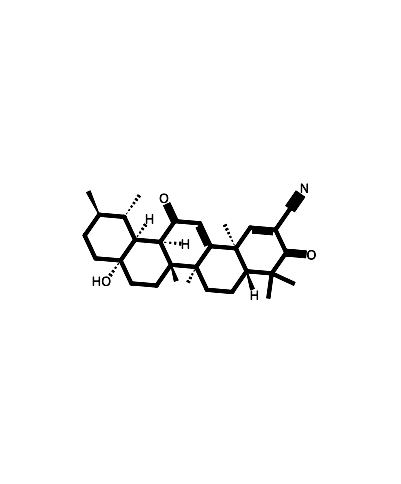 C[C@@H]1[C@H]2[C@H]3C(=O)C=C4[C@@]5(C)C=C(C#N)C(=O)C(C)(C)[C@@H]5CC[C@@]4(C)[C@]3(C)CC[C@@]2(O)CC[C@H]1C